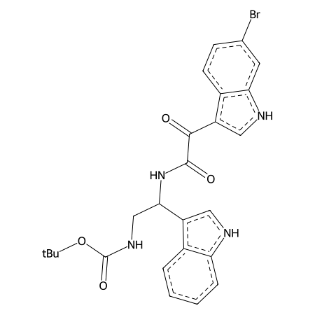 CC(C)(C)OC(=O)NCC(NC(=O)C(=O)c1c[nH]c2cc(Br)ccc12)c1c[nH]c2ccccc12